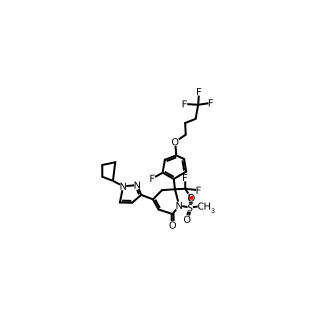 CS(=O)(=O)N1C(=O)C=C(c2ccn(C3CCC3)n2)CC1(c1ccc(OCCCC(F)(F)F)cc1F)C(F)(F)F